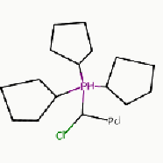 Cl[CH]([Pd])[PH](C1CCCC1)(C1CCCC1)C1CCCC1